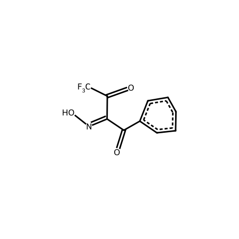 O=C(/C(=N/O)C(=O)C(F)(F)F)c1ccccc1